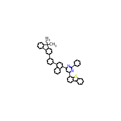 CC1(C)c2ccccc2-c2cc(-c3cccc(-c4ccc(-c5cc(-c6cccc7c6sc6ccccc67)nc(-c6ccccc6)n5)c5ccccc45)c3)ccc21